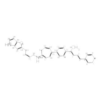 C/C(=C\C=C\C1=CCCC=C1)c1ccc(C2=CC=C(NC/C=C\Cc3cc4[nH]ccc4o3)CC=C2)cc1